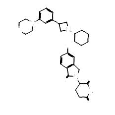 O=C1CCC(N2Cc3cc(O[C@H]4CCCC[C@@H]4N4CC(c5cccc(N6CCOCC6)c5)C4)ccc3C2=O)C(=O)N1